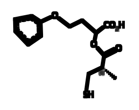 C[C@H](CS)C(=O)OC(CCOc1ccccc1)C(=O)O